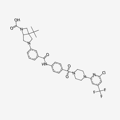 CC(C)(C)C12CN(c3cccc(C(=O)Nc4ccc(S(=O)(=O)N5CCN(c6cc(C(F)(F)F)cc(Cl)n6)CC5)cc4)c3)CC1N(C(=O)O)C2